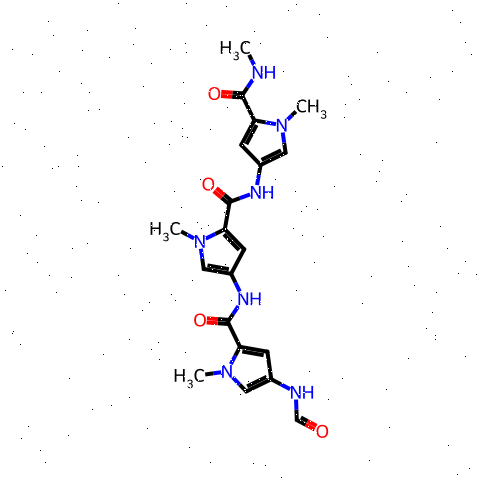 CNC(=O)c1cc(NC(=O)c2cc(NC(=O)c3cc(NC=O)cn3C)cn2C)cn1C